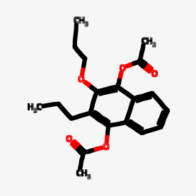 CCCOc1c(CCC)c(OC(C)=O)c2ccccc2c1OC(C)=O